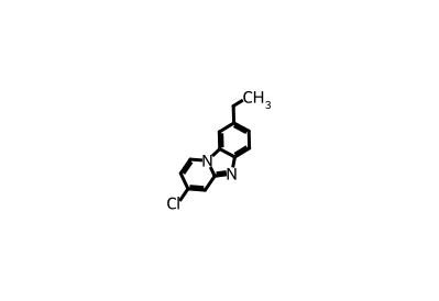 CCc1ccc2nc3cc(Cl)ccn3c2c1